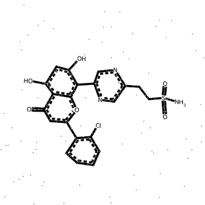 NS(=O)(=O)CCc1cnc(-c2c(O)cc(O)c3c(=O)cc(-c4ccccc4Cl)oc23)cn1